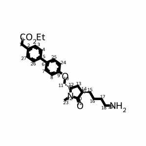 CCOC(=O)Cc1ccc(-c2ccc(OC[C@@H]3C[C@@H](CCCCN)C(=O)N3C)cc2)cc1